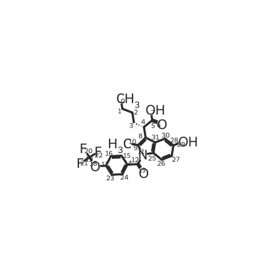 CCCC[C@H](C(=O)O)c1c(C)n(C(=O)c2ccc(OC(F)(F)F)cc2)c2ccc(O)cc12